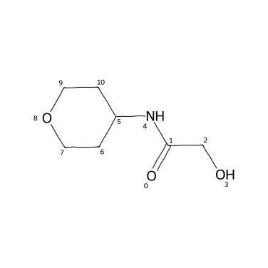 O=C(CO)NC1CCOCC1